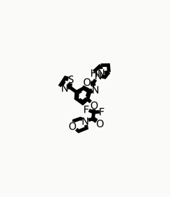 O=C(N1CCOCC1)C(F)(F)Oc1ccc(-c2nccs2)c2oc(N3CC4CC(C3)N4)nc12